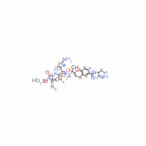 CC(ON=C(C(=O)NC1C(=O)N(OS(=O)(=O)O)C1(C)C)c1csc(N)n1)(C(=O)O)C1CCc2cc(C(=N)NC3CCNC3)ccc2O1